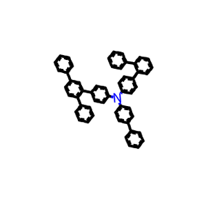 c1ccc(-c2ccc(N(c3ccc(-c4ccccc4-c4ccccc4)cc3)c3ccc(-c4cc(-c5ccccc5)ccc4-c4ccccc4)cc3)cc2)cc1